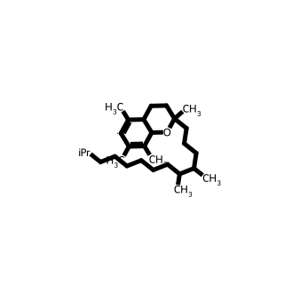 CC1=[C]C(C)=C(C)C2OC(C)(CCCC(C)C(C)CCCCCCC(C)C)CCC12